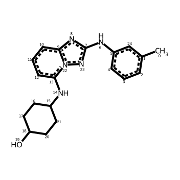 Cc1cccc(Nc2nc3cccc(NC4CCC(O)CC4)n3n2)c1